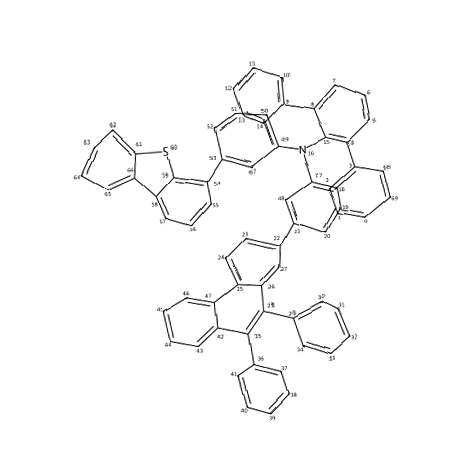 c1ccc(-c2cccc(-c3ccccc3)c2N(c2cccc(-c3ccc4c(c3)c(-c3ccccc3)c(-c3ccccc3)c3ccccc34)c2)c2cccc(-c3cccc4c3sc3ccccc34)c2)cc1